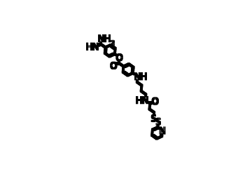 N=C(N)c1ccc(OC(=O)c2ccc(NCCCCNC(=O)CCSSc3ccccn3)cc2)cc1